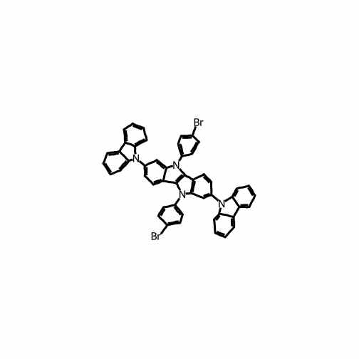 Brc1ccc(-n2c3cc(-n4c5ccccc5c5ccccc54)ccc3c3c2c2ccc(-n4c5ccccc5c5ccccc54)cc2n3-c2ccc(Br)cc2)cc1